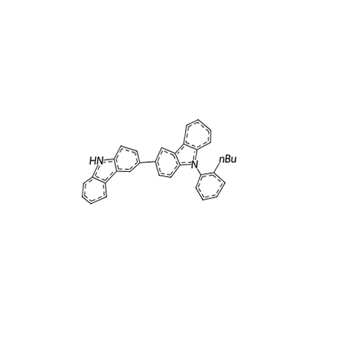 CCCCc1ccccc1-n1c2ccccc2c2cc(-c3ccc4[nH]c5ccccc5c4c3)ccc21